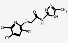 O=C(COc1nc(Cl)c(Cl)cc1Cl)Nc1nnc(C(F)(F)F)[nH]1